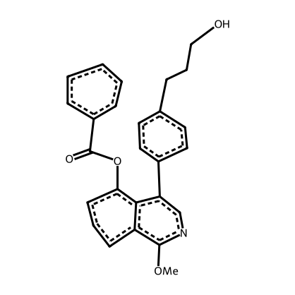 COc1ncc(-c2ccc(CCCO)cc2)c2c(OC(=O)c3ccccc3)cccc12